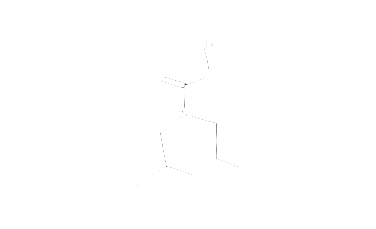 CC(Cl)CN(CCCl)C(=O)OC(C)(C)C